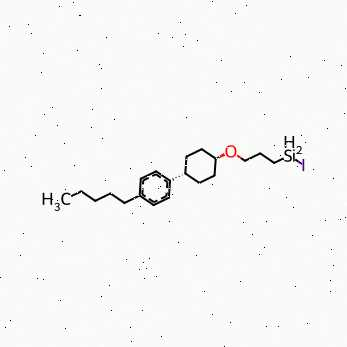 CCCCCc1ccc([C@H]2CC[C@H](OCCC[SiH2]I)CC2)cc1